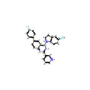 Fc1ccc(-c2ccc3nc(-c4cccnc4)nc(N4CCc5cc(F)ccc54)c3c2)cc1